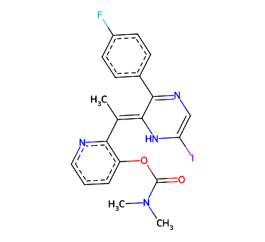 CC(=C1NC(I)=CN=C1c1ccc(F)cc1)c1ncccc1OC(=O)N(C)C